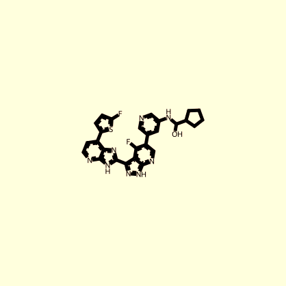 OC(Nc1cncc(-c2cnc3[nH]nc(-c4nc5c(-c6ccc(F)s6)ccnc5[nH]4)c3c2F)c1)C1CCCC1